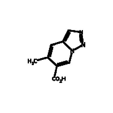 Cc1cc2cnnn2cc1C(=O)O